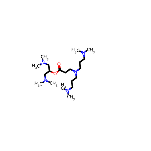 CN(C)CCCN(CCCN(C)C)CCC(=O)OC(CN(C)C)CN(C)C